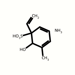 C=CC1(S(=O)(=O)O)C=CC=C(C)C1O.N